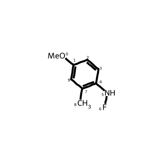 COc1ccc(NF)c(C)c1